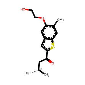 COc1cc2sc(C(=O)C[C@H](C)C(=O)O)cc2cc1OCCO